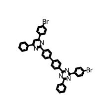 Brc1ccc(-c2cc(-c3ccccc3)nc(-c3ccc(-c4ccc(-c5nc(-c6ccccc6)nc(-c6ccc(Br)cc6)n5)cc4)cc3)n2)cc1